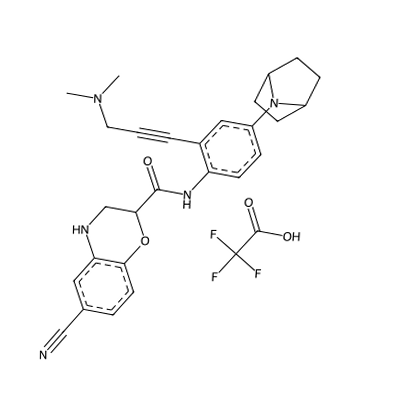 CN(C)CC#Cc1cc(N2C3CCC2CC3)ccc1NC(=O)C1CNc2cc(C#N)ccc2O1.O=C(O)C(F)(F)F